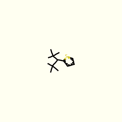 CC(C)(C)C(c1cccs1)C(C)(C)C